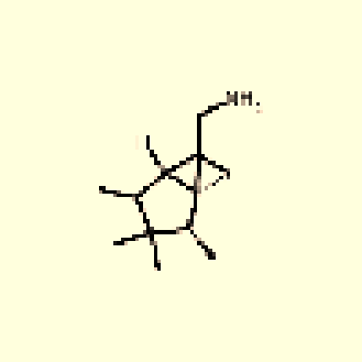 CC1[C@@H]2C3(CN)C[C@]23[C@@H](C)C1(C)C